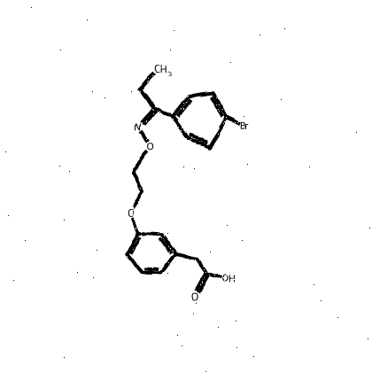 CCC(=NOCCOc1cccc(CC(=O)O)c1)c1ccc(Br)cc1